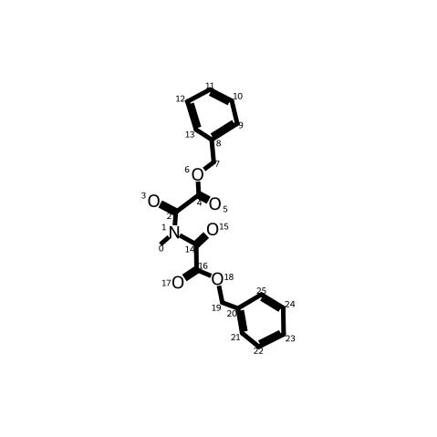 CN(C(=O)C(=O)OCc1ccccc1)C(=O)C(=O)OCc1ccccc1